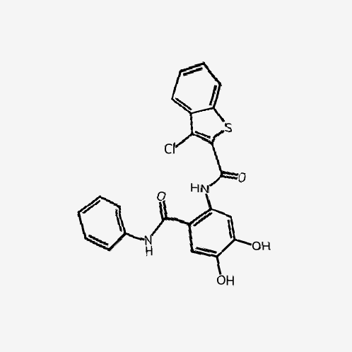 O=C(Nc1ccccc1)c1cc(O)c(O)cc1NC(=O)c1sc2ccccc2c1Cl